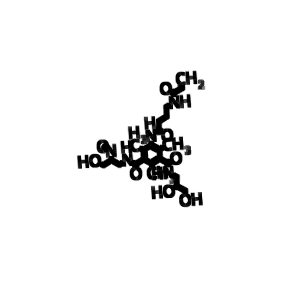 C=CC(=O)NCCCC(=O)Nc1c(C)c(C(=O)NCC(O)CO)c(C)c(C(=O)NCC(CO)N=O)c1C